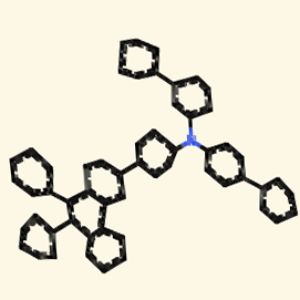 c1ccc(-c2ccc(N(c3ccc(-c4ccc5c(-c6ccccc6)c(-c6ccccc6)c6ccccc6c5c4)cc3)c3cccc(-c4ccccc4)c3)cc2)cc1